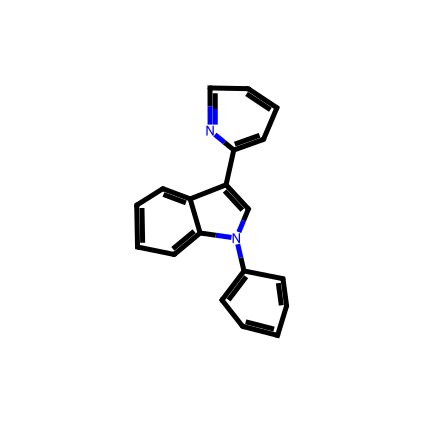 c1ccc(-n2cc(-c3ccccn3)c3ccccc32)cc1